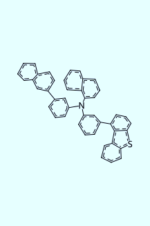 c1cc(-c2ccc3ccccc3c2)cc(N(c2cccc(-c3cccc4sc5ccccc5c34)c2)c2cccc3ccccc23)c1